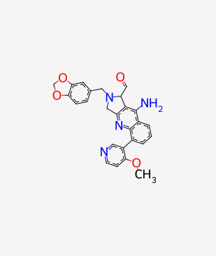 COc1ccncc1-c1cccc2c(N)c3c(nc12)CN(Cc1ccc2c(c1)OCO2)C3C=O